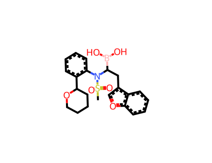 CS(=O)(=O)N(c1ccccc1C1CCCCO1)C(Cc1coc2ccccc12)B(O)O